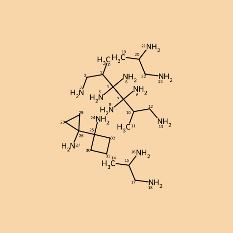 CC(CN)C(N)(N)C(N)(N)C(C)CN.CC(N)CN.CC(N)CN.NC1(C2(N)CC2)CCC1